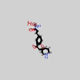 O=C(/C=C/c1ccc2c(c1)C(=O)CC1(CCCNCC1)O2)NO